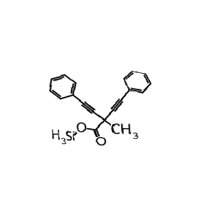 CC(C#Cc1ccccc1)(C#Cc1ccccc1)C(=O)O[SiH3]